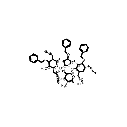 CC[C@H]1O[C@@H](O[C@@H]2C(OCc3ccccc3)[C@H](N=[N+]=[N-])CC(N=[N+]=[N-])[C@H]2O[C@H]2OC(C=O)[C@@H](C)[C@H](C)C2N=[N+]=[N-])C(OCc2ccccc2)[C@H]1O[C@H]1O[C@@H](CN=[N+]=[N-])[C@@H](C)C(OCc2ccccc2)C1N=[N+]=[N-]